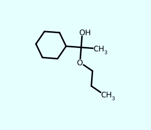 CCCOC(C)(O)C1CCCCC1